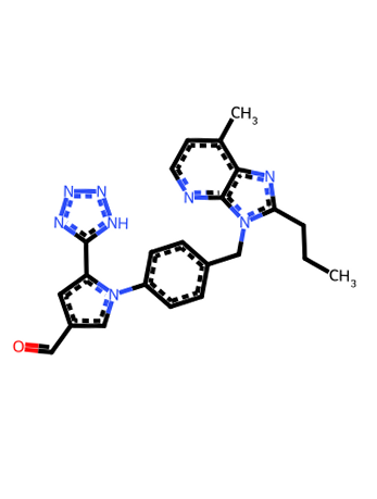 CCCc1nc2c(C)ccnc2n1Cc1ccc(-n2cc(C=O)cc2-c2nnn[nH]2)cc1